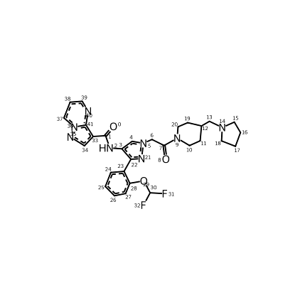 O=C(Nc1cn(CC(=O)N2CCC(CN3CCCC3)CC2)nc1-c1ccccc1OC(F)F)c1cnn2cccnc12